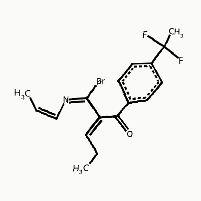 C\C=C/N=C(Br)\C(=C\CC)C(=O)c1ccc(C(C)(F)F)cc1